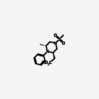 C[C@@H]1CN(S(C)(=O)=O)C[C@@H](CC(=O)O)N1c1ccccc1